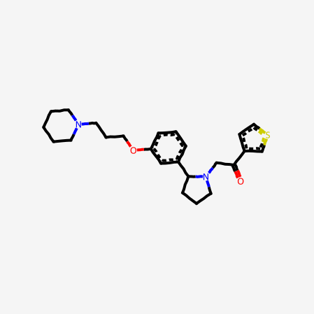 O=C(CN1CCCC1c1cccc(OCCCN2CCCCC2)c1)c1ccsc1